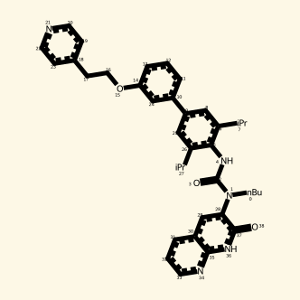 CCCCN(C(=O)Nc1c(C(C)C)cc(-c2cccc(OCCc3ccncc3)c2)cc1C(C)C)c1cc2cccnc2[nH]c1=O